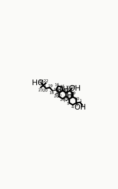 CC[C@]1(O)CC[C@@]2(C)C(=C[C@](C)(O)[C@H]3[C@@H]4CC[C@H](CCCC(C)(C)O)[C@@]4(C)CC[C@@H]32)C1